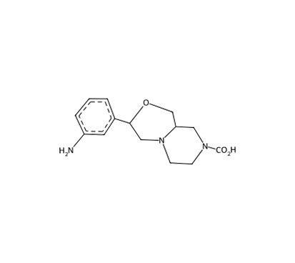 Nc1cccc(C2CN3CCN(C(=O)O)CC3CO2)c1